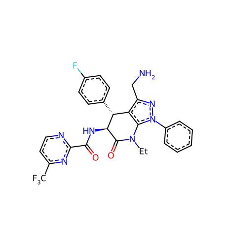 CCN1C(=O)[C@@H](NC(=O)c2nccc(C(F)(F)F)n2)[C@H](c2ccc(F)cc2)c2c(CN)nn(-c3ccccc3)c21